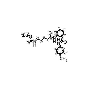 Cc1ccc(NC(=O)c2ccccc2NC(=O)CCCCNC(=O)OC(C)(C)C)nc1